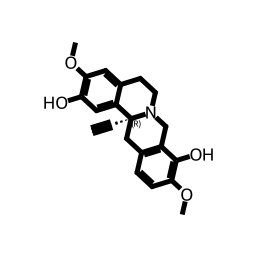 C#C[C@@]12Cc3ccc(OC)c(O)c3CN1CCc1cc(OC)c(O)cc12